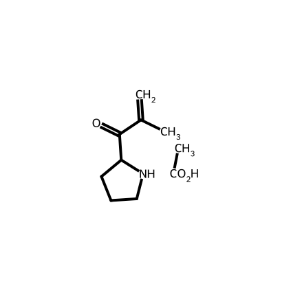 C=C(C)C(=O)C1CCCN1.CC(=O)O